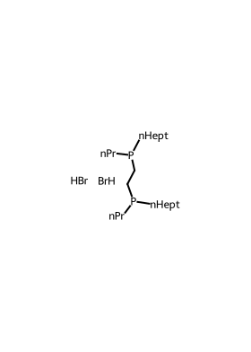 Br.Br.CCCCCCCP(CCC)CCP(CCC)CCCCCCC